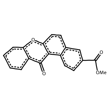 COC(=O)c1ccc2c(ccc3oc4ccccc4c(=O)c32)c1